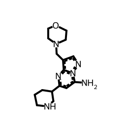 Nc1cc(C2CCCNC2)nc2c(CN3CCOCC3)cnn12